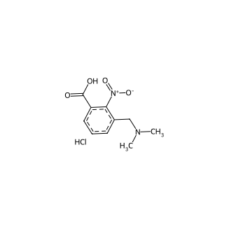 CN(C)Cc1cccc(C(=O)O)c1[N+](=O)[O-].Cl